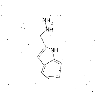 NNCc1cc2ccccc2[nH]1